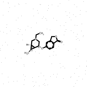 CCN1C[C@H](Oc2ccc3c(c2)COC3=O)C2[C@@H](C)[C@H]2C1